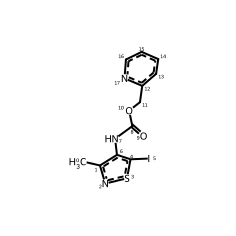 Cc1nsc(I)c1NC(=O)OCc1ccccn1